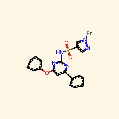 CCn1cc(S(=O)(=O)Nc2nc(Oc3ccccc3)cc(-c3ccccc3)n2)cn1